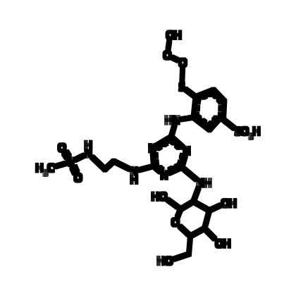 CS(=O)(=O)NCCNc1nc(Nc2cc(S(=O)(=O)O)ccc2SOOO)nc(NC2C(O)OC(CO)C(O)C2O)n1